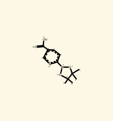 CC1(C)OB(c2ccc(C(=O)O)cn2)OC1(C)C